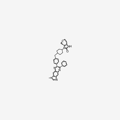 Cn1cnc2cc3nc(-c4ccccc4)c(-c4ccc(CC5CCC(n6c(=O)[nH]c7ccccc76)CC5)cc4)nc3cc21